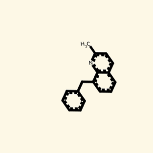 Cc1ccc2cccc(Cc3ccccc3)c2n1